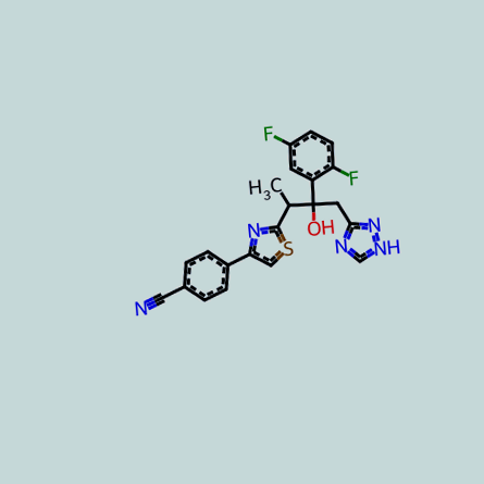 CC(c1nc(-c2ccc(C#N)cc2)cs1)C(O)(Cc1nc[nH]n1)c1cc(F)ccc1F